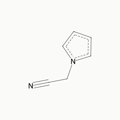 N#CCn1cccc1